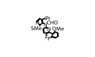 COc1cccc(F)c1-c1nc(N(C=O)c2c(C(C)C)ccnc2SC)ccc1F